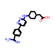 N=C(N)c1ccc(-c2ccc(NC3CCC(CC(=O)O)CC3)nn2)cc1